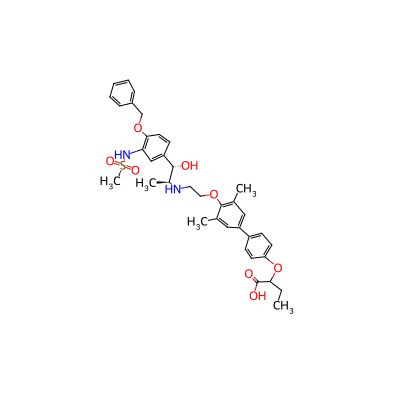 CCC(Oc1ccc(-c2cc(C)c(OCCN[C@@H](C)[C@@H](O)c3ccc(OCc4ccccc4)c(NS(C)(=O)=O)c3)c(C)c2)cc1)C(=O)O